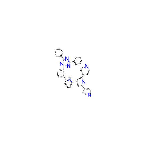 c1ccc(-c2nc(-c3ccccc3)nc(-c3cccc(-c4cccc(-c5cc(-c6ccncc6)nc(-c6ccncc6)c5)n4)c3)n2)cc1